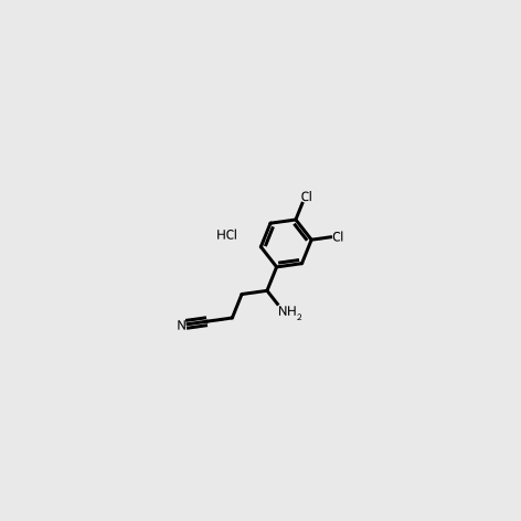 Cl.N#CCCC(N)c1ccc(Cl)c(Cl)c1